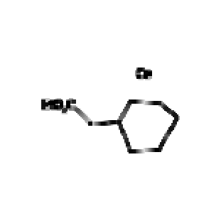 CCOC(=O)CC1CCCCC1.[Ce]